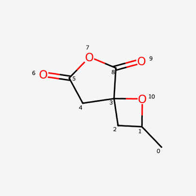 CC1CC2(CC(=O)OC2=O)O1